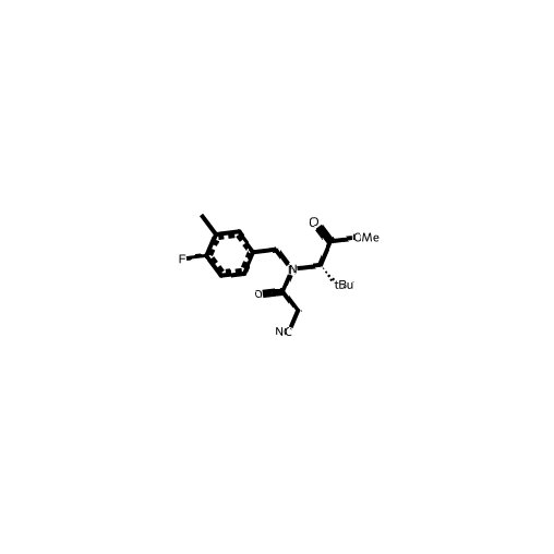 COC(=O)[C@@H](N(Cc1ccc(F)c(C)c1)C(=O)CC#N)C(C)(C)C